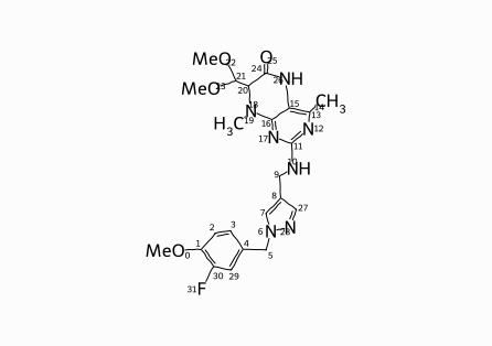 COc1ccc(Cn2cc(CNc3nc(C)c4c(n3)N(C)C(C(OC)OC)C(=O)N4)cn2)cc1F